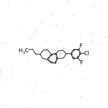 CCCC1CCc2c(ccc3c2CCC(c2cc(F)c(Cl)c(F)c2)C3)C1